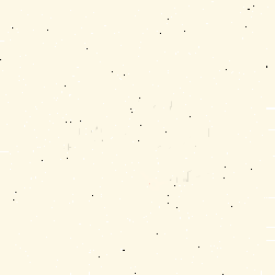 CCCCCCCCCCOCC[CH2][K].O=C(O)CC(C(=O)O)S(=O)(=O)O